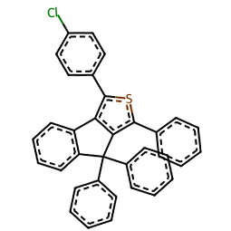 Clc1ccc(-c2sc(-c3ccccc3)c3c2-c2ccccc2C3(c2ccccc2)c2ccccc2)cc1